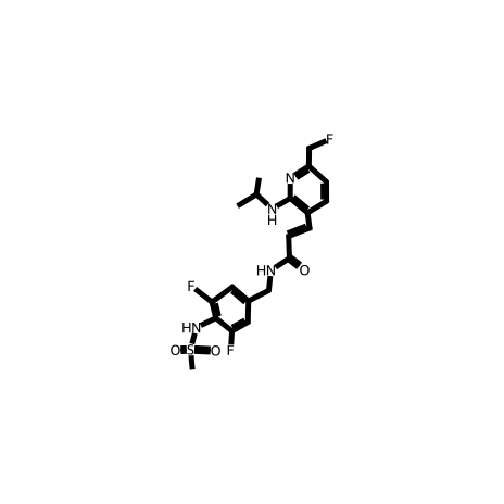 CC(C)Nc1nc(CF)ccc1/C=C/C(=O)NCc1cc(F)c(NS(C)(=O)=O)c(F)c1